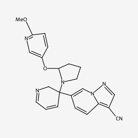 COc1ccc(OC2CCCN2C2(c3ccc4c(C#N)cnn4c3)C=CC=NC2)cn1